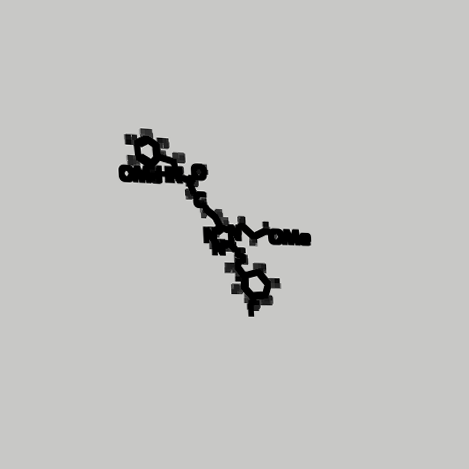 COCCCn1c(CCCCC(=O)NCc2ccccc2OC)nnc1SCC1=CC(F)=CCC1